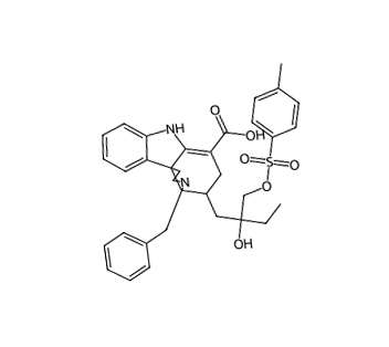 CCC(O)(COS(=O)(=O)c1ccc(C)cc1)CC1CC(C(=O)O)=C2Nc3ccccc3C23CCN(Cc2ccccc2)C13